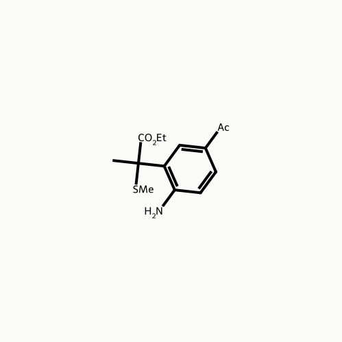 CCOC(=O)C(C)(SC)c1cc(C(C)=O)ccc1N